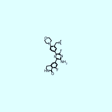 CN(C)Cc1cc(-c2nc(-c3cc(F)c4c(c3)CCNC4=O)c(N)nc2F)ccc1N1CCOCC1